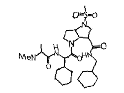 CNC(C)C(=O)NC(C(=O)N1CCC2C1C(C(=O)NCC1CCCCC1)CN2S(C)(=O)=O)C1CCCCC1